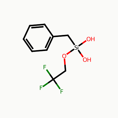 O[Si](O)(Cc1ccccc1)OCC(F)(F)F